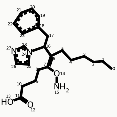 CCCCCC/C(=C(/CCCC(=O)O)ON)C(Cc1ccccc1)n1ccnc1